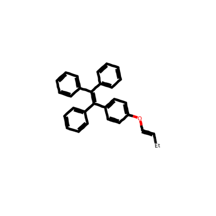 CCC=COc1ccc(C(=C(c2ccccc2)c2ccccc2)c2ccccc2)cc1